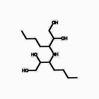 CCCCC(NC(CCCC)C(O)CO)C(O)CO